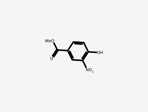 COC(=O)c1c[c]c(O)c([N+](=O)[O-])c1